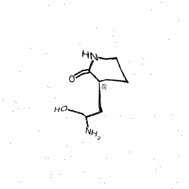 NC(O)C[C@@H]1CCNC1=O